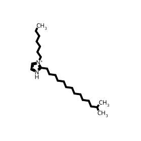 CCCCCCC[n+]1cc[nH]c1CCCCCCCCCCCCC(C)C